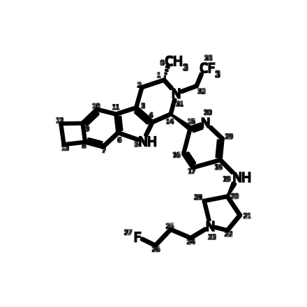 C[C@H]1Cc2c([nH]c3cc4c(cc23)CC4)[C@H](c2ccc(N[C@H]3CCN(CCCF)C3)cn2)N1CC(F)(F)F